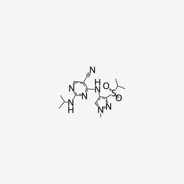 CC(C)Nc1ncc(C#N)c(Nc2cn(C)nc2S(=O)(=O)C(C)C)n1